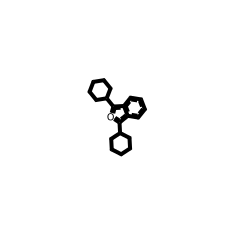 c1ccc2c(C3CCCCC3)oc(C3CCCCC3)c2c1